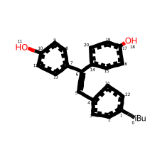 CCC(C)c1ccc(C=C(c2ccc(O)cc2)c2ccc(O)cc2)cc1